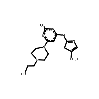 Cc1nc(NC2=NC=C(C(=O)O)C2)cc(N2CCN(CCO)CC2)n1